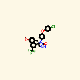 COc1ccc(C[C@]2(c3cccc(C(F)(F)F)c3)CNC(=O)N2c2ccc(Oc3ccc(Cl)cc3)cc2)cc1